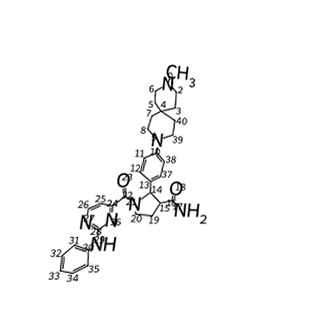 CN1CCC2(CC1)CCN(c1ccc(C3C(C(N)=O)CCN3C(=O)c3ccnc(Nc4ccccc4)n3)cc1)CC2